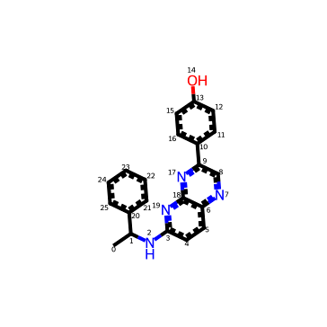 CC(Nc1ccc2ncc(-c3ccc(O)cc3)nc2n1)c1ccccc1